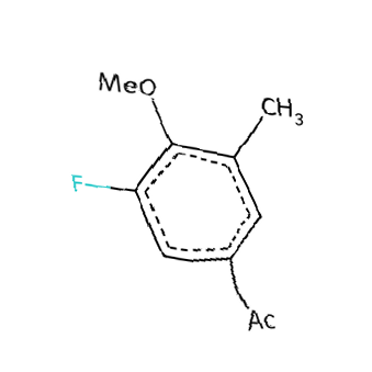 COc1c(C)cc(C(C)=O)cc1F